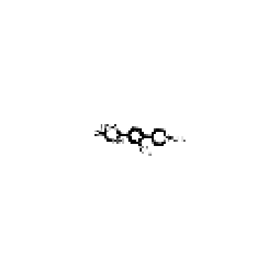 CN1CCC(c2ccc(C3=NNC(=O)CN3)cc2C(F)(F)F)CC1